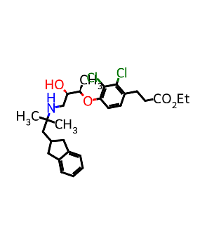 CCOC(=O)CCc1ccc(O[C@H](C)[C@H](O)CNC(C)(C)CC2Cc3ccccc3C2)c(Cl)c1Cl